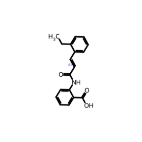 CCc1ccccc1/C=C/C(=O)Nc1ccccc1C(=O)O